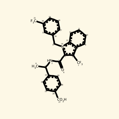 CC(NC(=O)c1c(C(F)(F)F)c2ccccc2n1Cc1cccc(C(F)(F)F)c1)c1ccc(C(=O)O)cc1